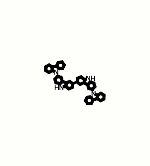 c1ccc2c(c1)c1ccccc1n2-c1ccc2[nH]c3ccc(-c4ccc5[nH]c6ccc(-n7c8ccccc8c8ccccc87)cc6c5c4)cc3c2c1